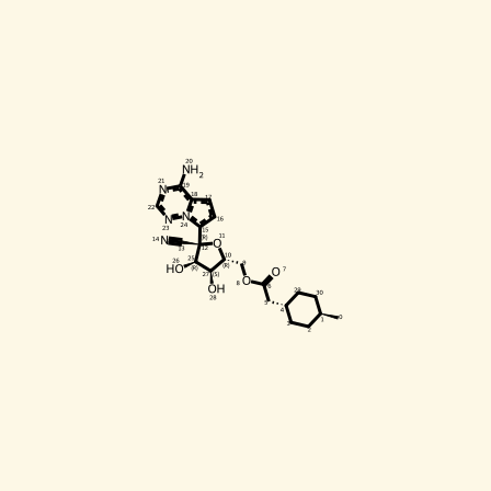 C[C@H]1CC[C@H](CC(=O)OC[C@H]2O[C@@](C#N)(c3ccc4c(N)ncnn34)[C@H](O)[C@@H]2O)CC1